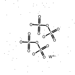 O=S(=O)([O-])OS(=O)(=O)[O-].O=S(=O)([O-])OS(=O)(=O)[O-].[W+4]